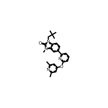 Cc1cc(Oc2cccc(-c3ccc4c(c3)n(C)c(=O)n4CC(C)(C)C)n2)cc(C)n1